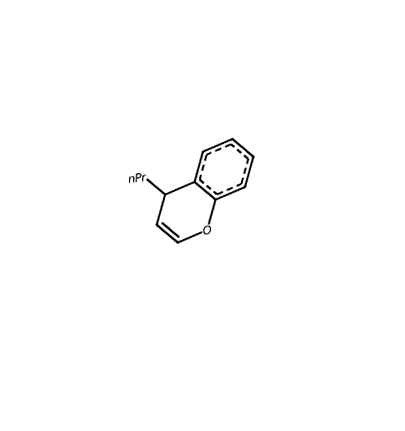 [CH2]CCC1C=COc2ccccc21